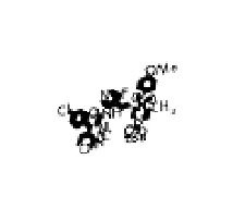 COc1ccc(S(=O)(=O)N2[C@@H](CCc3c(F)cncc3NC(=O)C(N=[N+]=[N-])[C@@H](c3ccc(Cl)cc3)C3CCOCC3)CN(C(=O)OC(C)(C)C)C[C@@H]2C)cc1